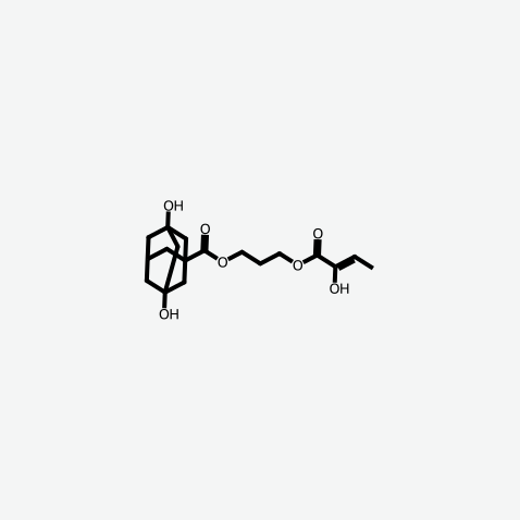 CC=C(O)C(=O)OCCCOC(=O)C12CC3CC(O)(CC(O)(C3)C1)C2